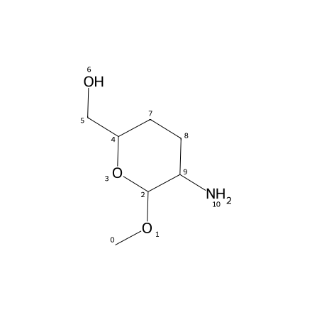 COC1OC(CO)CCC1N